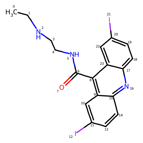 CCNCCNC(=O)c1c2cc(I)ccc2nc2ccc(I)cc12